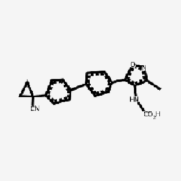 Cc1noc(-c2ccc(-c3ccc(C4(C#N)CC4)cc3)cc2)c1NC(=O)O